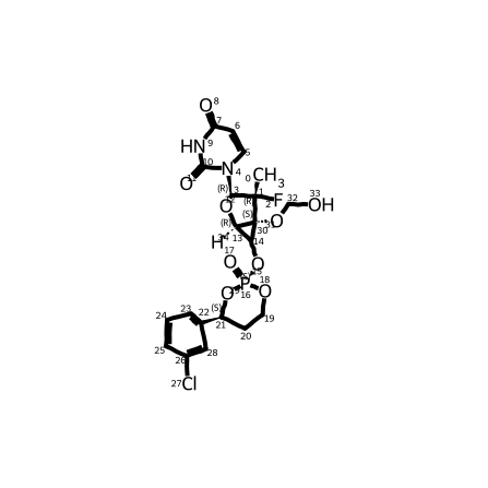 C[C@]1(F)[C@H](n2ccc(=O)[nH]c2=O)O[C@@H]2C(O[P@@]3(=O)OCC[C@@H](c4cccc(Cl)c4)O3)[C@@]21OCO